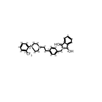 OC1c2ccccc2C(O)N1Cc1ccc(CCN2CCN(c3ccccc3C(F)(F)F)CC2)cc1